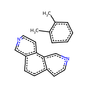 Cc1ccccc1C.c1cc2c(ccc3ccncc32)cn1